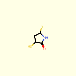 O=C1NC(S)CC1S